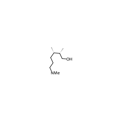 CNCCC[C@H](C)[C@H](C)CO